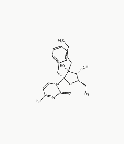 CCCC[C@@]1(O)[C@H](O)[C@@H](CO)O[C@@]1(Cc1ccccc1)n1ccc(N)nc1=O